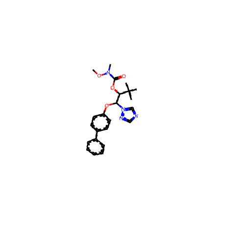 CON(C)C(=O)OC(C(Oc1ccc(-c2ccccc2)cc1)n1cncn1)C(C)(C)C